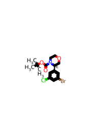 CC(C)(C)OC(=O)N1CCOC[C@H]1c1cc(Cl)cc(Br)c1